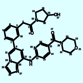 O=C(Cc1cccc(-c2cc(Nc3ccc(C(=O)N4CCOCC4)cn3)c3nccn3c2)c1)N1CCC(O)C1